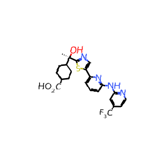 C[C@](O)(c1ncc(-c2cccc(Nc3cc(C(F)(F)F)ccn3)n2)s1)C1CCC(C(=O)O)CC1